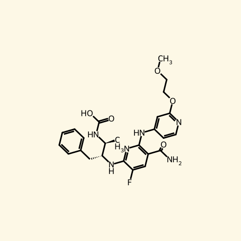 COCCOc1cc(Nc2nc(N[C@H](Cc3ccccc3)[C@H](C)NC(=O)O)c(F)cc2C(N)=O)ccn1